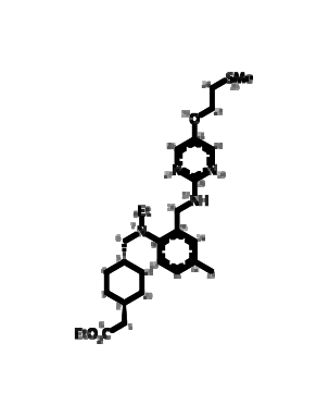 CCOC(=O)C[C@H]1CC[C@H](CN(CC)c2ccc(C)cc2CNc2ncc(OCCSC)cn2)CC1